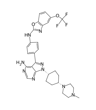 CN1CCN([C@H]2CC[C@@H](n3nc(-c4ccc(Nc5nc6cc(OC(F)(F)F)ccc6o5)cc4)c4c(N)ncnc43)CC2)CC1